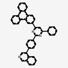 c1ccc(-c2cc(-c3ccc4c5ccccc5c5ccccc5c4c3)nc(-c3ccc(-c4cncc5ccccc45)cc3)n2)cc1